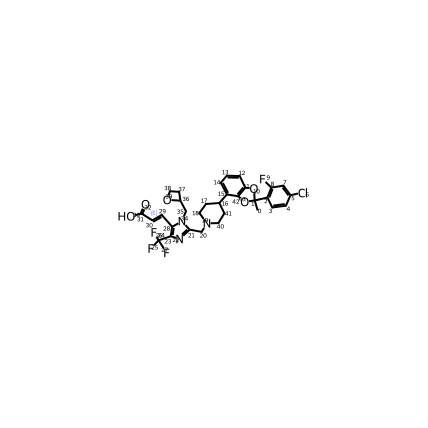 CC1(c2ccc(Cl)cc2F)Oc2cccc(C3CCN(Cc4nc(C(F)(F)F)c(/C=C/C(=O)O)n4CC4CCO4)CC3)c2O1